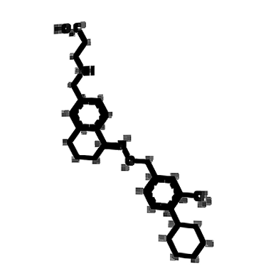 O=C(O)CCNCc1ccc2c(c1)CCCC2=NOCc1ccc(C2CCCCC2)c(C(F)(F)F)c1